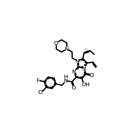 C=Cc1c(/C=C\C)n(CCN2CCOCC2)c2nc(C(=O)NCc3ccc(F)c(Cl)c3)c(O)c(=O)n12